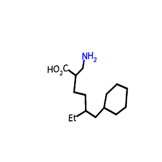 CCC(CCC(CN)C(=O)O)CC1CCCCC1